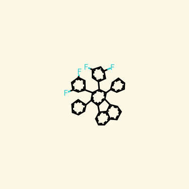 Fc1cc(F)cc(-c2c(-c3cc(F)cc(F)c3)c(-c3ccccc3)c3c(c2-c2ccccc2)-c2cccc4cccc-3c24)c1